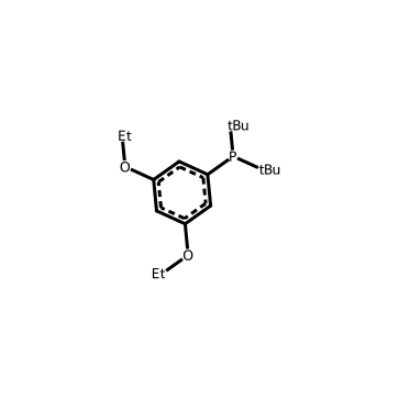 CCOc1cc(OCC)cc(P(C(C)(C)C)C(C)(C)C)c1